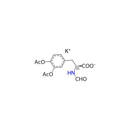 CC(=O)Oc1ccc(C[C@H](NC=O)C(=O)[O-])cc1OC(C)=O.[K+]